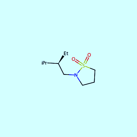 CC[C@@H](CN1CCCS1(=O)=O)C(C)C